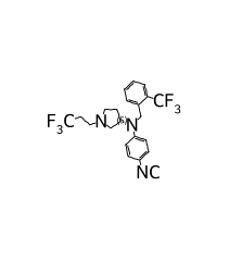 [C-]#[N+]c1ccc(N(Cc2ccccc2C(F)(F)F)[C@H]2CCN(CCC(F)(F)F)C2)cc1